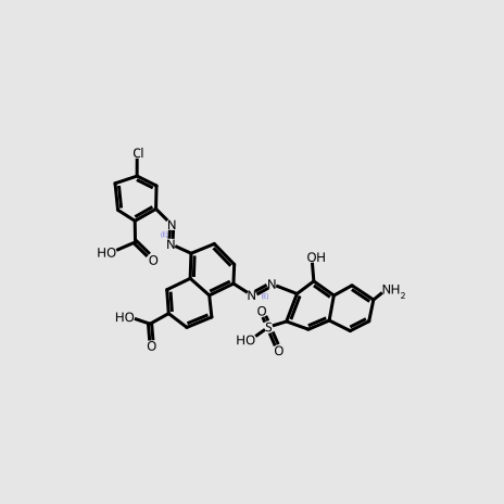 Nc1ccc2cc(S(=O)(=O)O)c(/N=N/c3ccc(/N=N/c4cc(Cl)ccc4C(=O)O)c4cc(C(=O)O)ccc34)c(O)c2c1